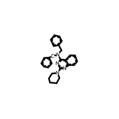 c1ccc(CN(Cc2ccccc2)c2nc(N3CCCCC3)nc3ccccc23)cc1